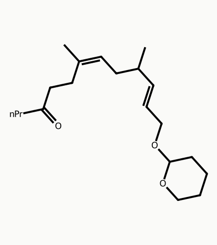 CCCC(=O)CCC(C)=CCC(C)C=CCOC1CCCCO1